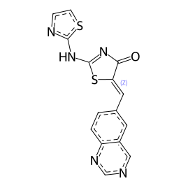 O=C1N=C(Nc2nccs2)S/C1=C\c1ccc2ncncc2c1